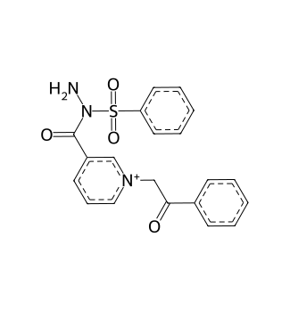 NN(C(=O)c1ccc[n+](CC(=O)c2ccccc2)c1)S(=O)(=O)c1ccccc1